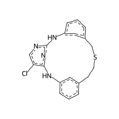 Clc1cnc2nc1Nc1cccc(c1)CCSCc1cccc(c1)N2